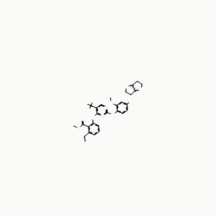 CCc1cccc(Oc2nc(Nc3ccc(O[C@@H]4CO[C@H]5[C@@H]4OC[C@H]5O)cc3OC)ncc2C(F)(F)F)c1C(=O)NC